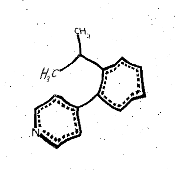 CC(C)c1ccccc1-c1ccncc1